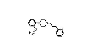 COc1ccccc1N1CCN(CCCc2ccccn2)CC1